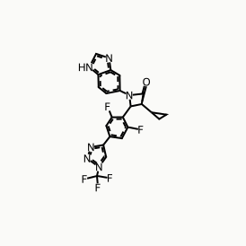 O=C1C(C2CC2)C(c2c(F)cc(-c3cn(C(F)(F)F)nn3)cc2F)N1c1ccc2[nH]cnc2c1